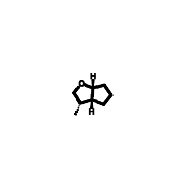 C[C@@H]1CO[C@@H]2C[CH]C[C@H]12